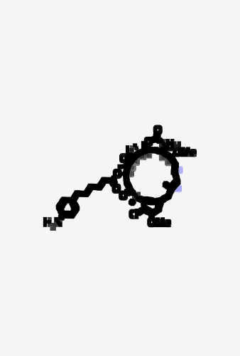 COc1cc2cc(c1Cl)N(C)C(=O)C[C@H](OC(=O)CCCCCc1ccc(N)cc1)[C@]1(C)O[C@H]1[C@H](C)[C@@H]1C[C@@](O)(NC(=O)O1)[C@H](OC)/C=C/C=C(\C)C2